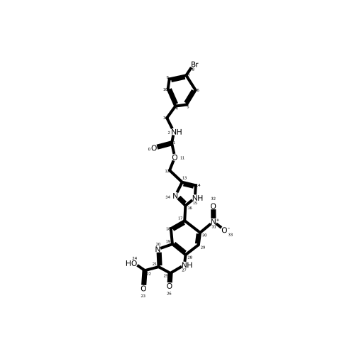 O=C(NCc1ccc(Br)cc1)OCc1c[nH]c(-c2cc3nc(C(=O)O)c(=O)[nH]c3cc2[N+](=O)[O-])n1